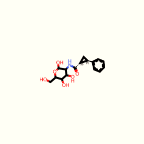 O=C(NC1C(O)OC(CO)C(O)C1O)[C@@H]1C[C@H]1c1ccccc1